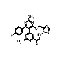 Cc1cc(-c2c(OCc3ncnn3C(C)C)nc(N)nc2-c2ccc(F)cc2)cc(C(F)F)n1